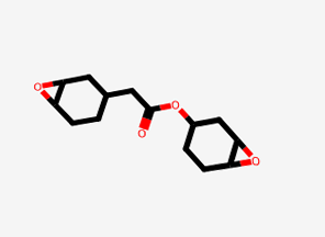 O=C(CC1CCC2OC2C1)OC1CCC2OC2C1